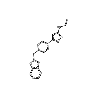 O=CNc1cc(-c2ccc(Cn3cc4ccccc4n3)cc2)no1